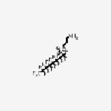 NCCCOS(=O)(=O)C(F)(F)C(F)(F)C(F)(F)C(F)(F)C(F)(F)C(F)(F)C(F)(F)C(F)(F)F